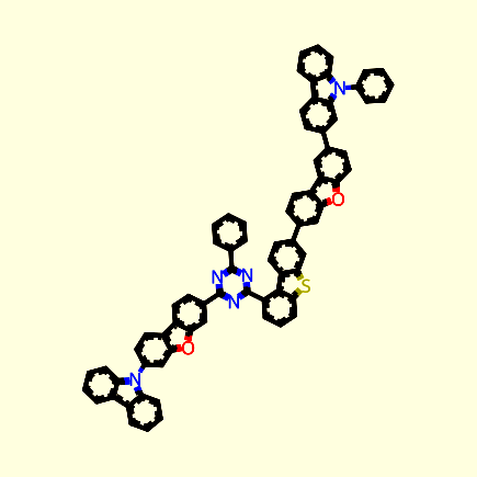 c1ccc(-c2nc(-c3ccc4c(c3)oc3cc(-n5c6ccccc6c6ccccc65)ccc34)nc(-c3cccc4sc5cc(-c6ccc7c(c6)oc6ccc(-c8ccc9c%10ccccc%10n(-c%10ccccc%10)c9c8)cc67)ccc5c34)n2)cc1